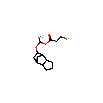 CC(OC(=O)CCS)OC1CC2CC1C1CCCC21